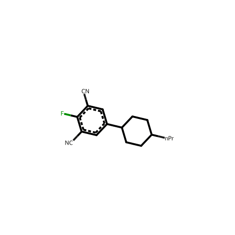 CCCC1CCC(c2cc(C#N)c(F)c(C#N)c2)CC1